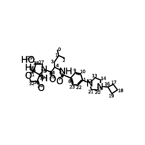 CC(C)CC(NC(=O)c1ccc(N2CCN(C3CCC3)CC2)cc1)C(=O)N1C[C@@H](O)[C@H]2OCC(=O)[C@H]21